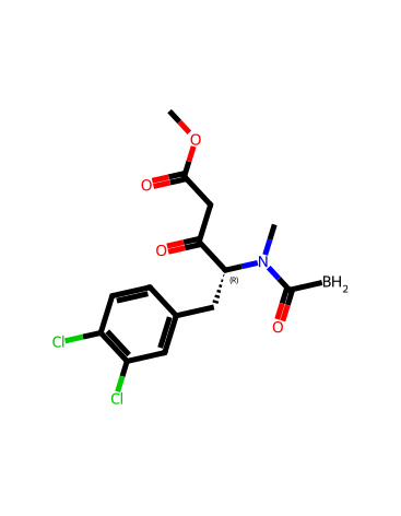 BC(=O)N(C)[C@H](Cc1ccc(Cl)c(Cl)c1)C(=O)CC(=O)OC